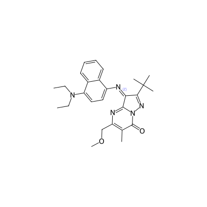 CCN(CC)c1ccc(/N=C2/C(C(C)(C)C)=Nn3c2nc(COC)c(C)c3=O)c2ccccc12